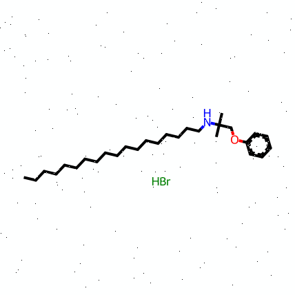 Br.CCCCCCCCCCCCCCCCCCNC(C)(C)COc1ccccc1